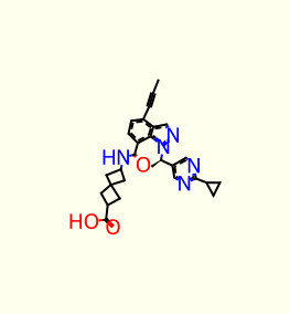 CC#Cc1ccc(C(=O)NC2CC3(C2)CC(C(=O)O)C3)c2c1cnn2[C@H](C)c1cnc(C2CC2)nc1